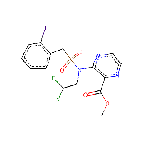 COC(=O)c1nccnc1N(CC(F)F)S(=O)(=O)Cc1ccccc1I